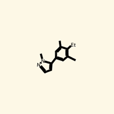 CCc1c(C)cc(-c2ccnn2C)cc1C